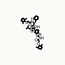 Cc1cccc(C)c1OCC(=O)Nc1nc2ccc(S(=O)(=O)N(CC(C)C)C[C@@H](O)[C@H](Cc3ccccc3)NC(=O)COc3c(C)cccc3C)cc2s1